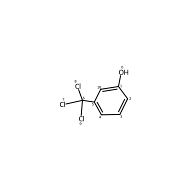 Oc1cccc(C(Cl)(Cl)Cl)c1